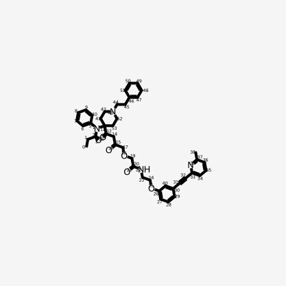 CCC(=O)N(c1ccccc1)C1(C(=O)CC(=O)COCC(=O)NCCOc2cccc(C#Cc3cccc(C)n3)c2)CCN(CCc2ccccc2)CC1